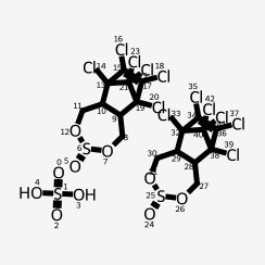 O=S(=O)(O)O.O=S1OCC2C(CO1)C1(Cl)C(Cl)=C(Cl)C2(Cl)C1(Cl)Cl.O=S1OCC2C(CO1)C1(Cl)C(Cl)=C(Cl)C2(Cl)C1(Cl)Cl